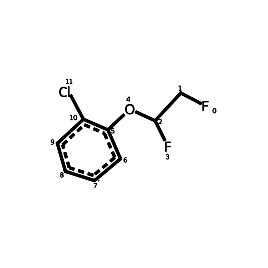 FCC(F)Oc1c[c]ccc1Cl